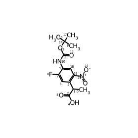 CC(C(=O)O)c1cc(F)c(NC(=O)OC(C)(C)C)cc1[N+](=O)[O-]